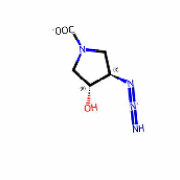 N=[N+]=N[C@@H]1CN(C(=O)[O-])C[C@H]1O